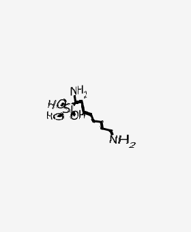 NCCCCCCCC(N)[Si](O)(O)O